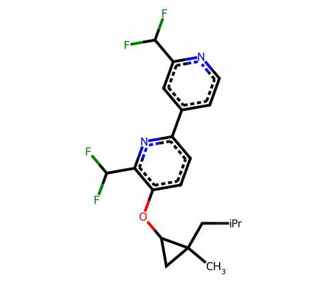 CC(C)CC1(C)CC1Oc1ccc(-c2ccnc(C(F)F)c2)nc1C(F)F